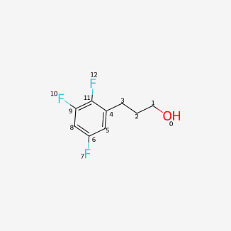 OCCCc1cc(F)cc(F)c1F